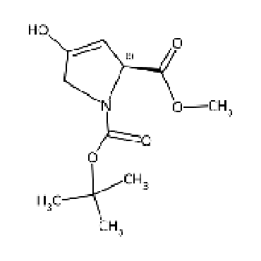 COC(=O)[C@@H]1C=C(O)CN1C(=O)OC(C)(C)C